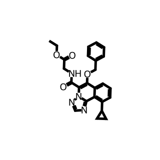 CCOC(=O)CNC(=O)c1c(OCc2ccccc2)c2cccc(C3CC3)c2c2ncnn12